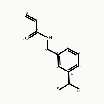 C=CC(=O)NCc1cccc(C(C)C)c1